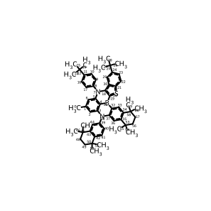 Cc1cc2c3c(c1)N(c1ccc(C(C)(C)C)cc1)c1c(sc4ccc(C(C)(C)C)cc14)B3c1cc3c(cc1N2c1ccc2c(c1)C(C)(C)CCC2(C)C)C(C)(C)CCC3(C)C